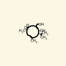 C=C(C)[C@H]1CC/C(C)=C/CC[C@@]2(C)O[C@@H]2CC/C(CO)=C\[C@@H]1O